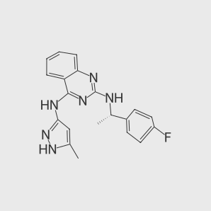 Cc1cc(Nc2nc(N[C@@H](C)c3ccc(F)cc3)nc3ccccc23)n[nH]1